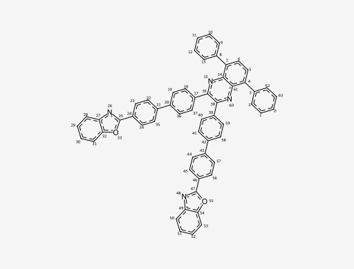 c1ccc(-c2ccc(-c3ccccc3)c3nc(-c4ccc(-c5ccc(-c6nc7ccccc7o6)cc5)cc4)c(-c4ccc(-c5ccc(-c6nc7ccccc7o6)cc5)cc4)nc23)cc1